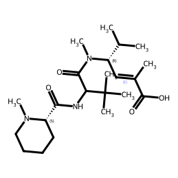 C/C(=C\[C@@H](C(C)C)N(C)C(=O)C(NC(=O)[C@@H]1CCCCN1C)C(C)(C)C)C(=O)O